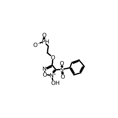 O=[PH]([O-])CCOc1no[n+](O)c1S(=O)(=O)c1ccccc1